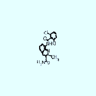 Cc1nc2c(NC(=O)c3c(Cl)cccc3Cl)cccc2cc1C(N)=O